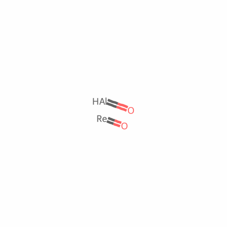 [O]=[AlH].[O]=[Re]